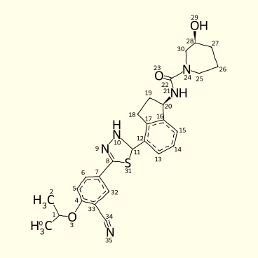 CC(C)Oc1ccc(C2=NNC(c3cccc4c3CC[C@H]4NC(=O)N3CCC[C@H](O)C3)S2)cc1C#N